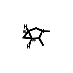 CC1[C@@H]2C[C@@H]2CN1C